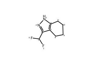 FC(F)c1n[nH]c2c1CCCC2